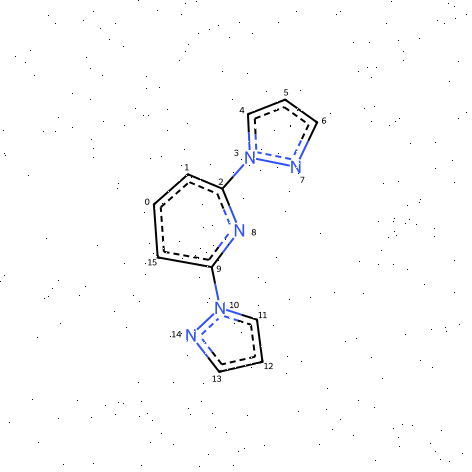 c1cc(-n2cccn2)nc(-n2cccn2)c1